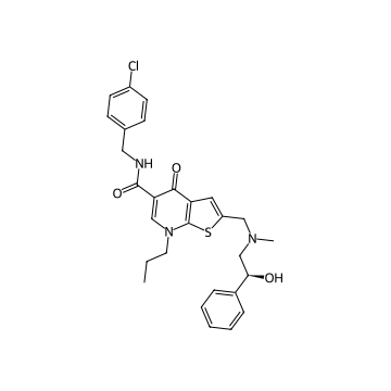 CCCn1cc(C(=O)NCc2ccc(Cl)cc2)c(=O)c2cc(CN(C)C[C@@H](O)c3ccccc3)sc21